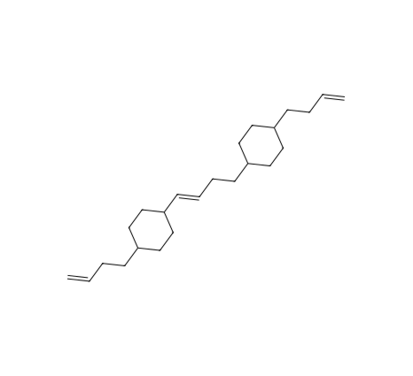 C=CCCC1CCC(C=CCCC2CCC(CCC=C)CC2)CC1